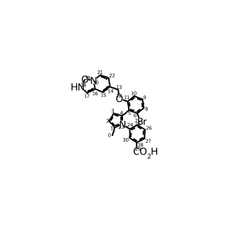 Cc1ccc(-c2c(Br)cccc2OCC2=CC3=CNON3C=C2)n1-c1cccc(C(=O)O)c1